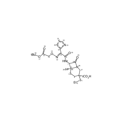 CCSC1(C(=O)O)CS[C@@H]2C(NC(=O)C(=NOCC(=O)OC(C)(C)C)c3cscn3)C(=O)N2C1